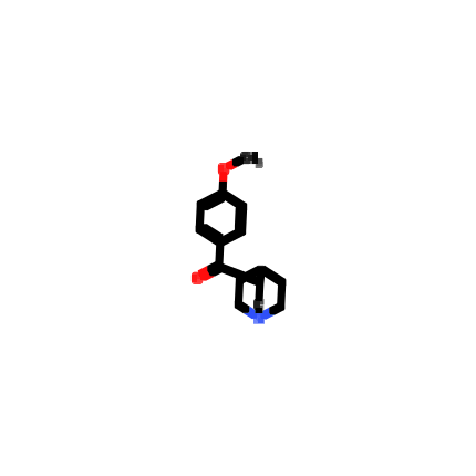 COc1ccc(C(=O)C2CN3CCC2CC3)cc1